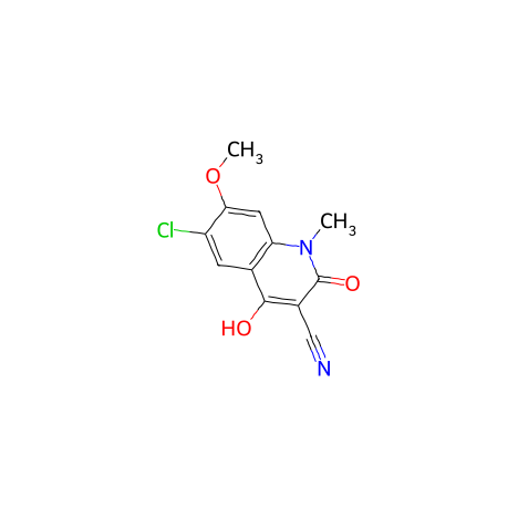 COc1cc2c(cc1Cl)c(O)c(C#N)c(=O)n2C